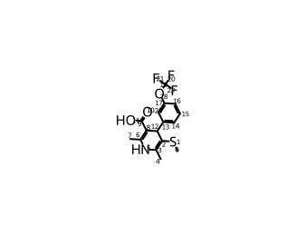 CSC1=C(C)NC(C)=C(C(=O)O)C1c1cccc(OC(F)(F)F)c1